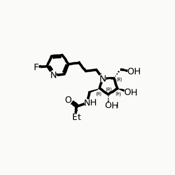 CCC(=O)NC[C@@H]1[C@@H](O)[C@H](O)[C@@H](CO)N1CCCc1ccc(F)nc1